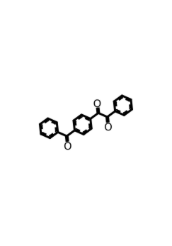 O=C(C(=O)c1ccc(C(=O)c2ccccc2)cc1)c1ccccc1